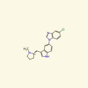 CN1CCC[C@@H]1Cc1c[nH]c2ccc(-n3cnc4cc(Cl)ccc43)cc12